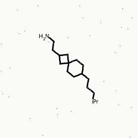 CC(C)CCCC1CCC2(CC1)CC(CCN)C2